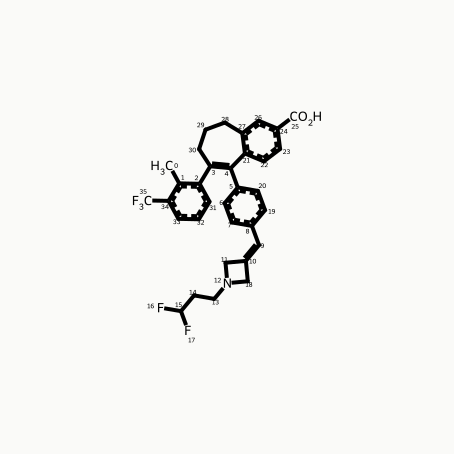 Cc1c(C2=C(c3ccc(C=C4CN(CCC(F)F)C4)cc3)c3ccc(C(=O)O)cc3CCC2)cccc1C(F)(F)F